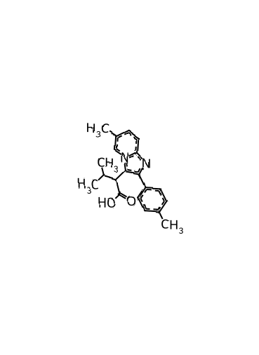 Cc1ccc(-c2nc3ccc(C)cn3c2C(C(=O)O)C(C)C)cc1